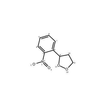 O=[N+]([O-])c1ccccc1C1CCOO1